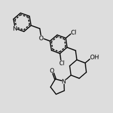 O=C1CCCN1C1CCC(O)C(Cc2c(Cl)cc(OCc3cccnc3)cc2Cl)C1